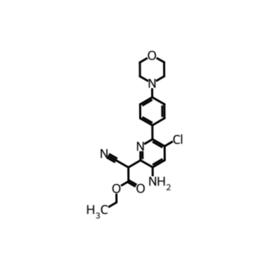 CCOC(=O)C(C#N)c1nc(-c2ccc(N3CCOCC3)cc2)c(Cl)cc1N